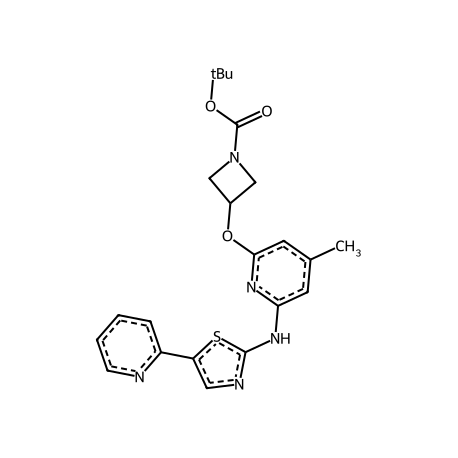 Cc1cc(Nc2ncc(-c3ccccn3)s2)nc(OC2CN(C(=O)OC(C)(C)C)C2)c1